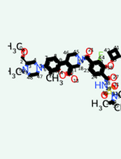 COC[C@H]1CN(c2ccc3c4c(c(=O)oc3c2C)CN(C(=O)c2ccc(C(=O)NS(=O)(=O)N(C)C(C)C)c(OC3CCC3)c2F)CC4)CCN1C